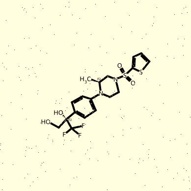 C[C@H]1CN(S(=O)(=O)c2cccs2)CCN1c1ccc([C@](O)(CO)C(F)(F)F)cc1